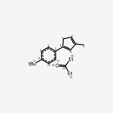 CC1=CCC(c2ccc(C(C)(C)C)cc2)=C1.CCC(=O)CC